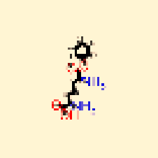 NC(CCCC(N)C(=O)Oc1ccccc1)C(=O)O